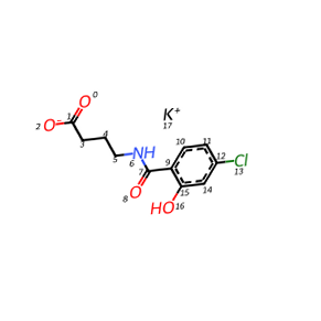 O=C([O-])CCCNC(=O)c1ccc(Cl)cc1O.[K+]